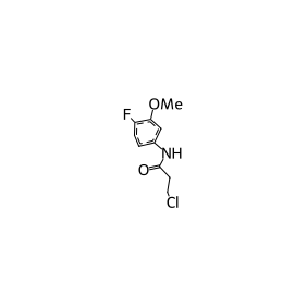 COc1cc(NC(=O)CCCl)ccc1F